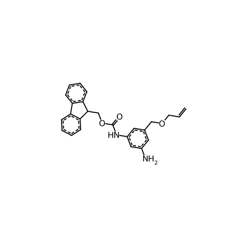 C=CCOCc1cc(N)cc(NC(=O)OCC2c3ccccc3-c3ccccc32)c1